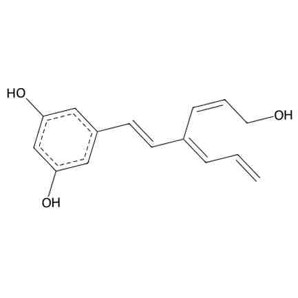 C=C/C=C(\C=C/CO)/C=C/c1cc(O)cc(O)c1